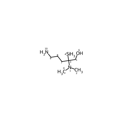 CN(C)C([SiH3])(CO)CCCN